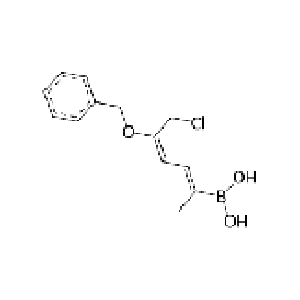 C/C(=C\C=C(/CCl)OCc1ccccc1)B(O)O